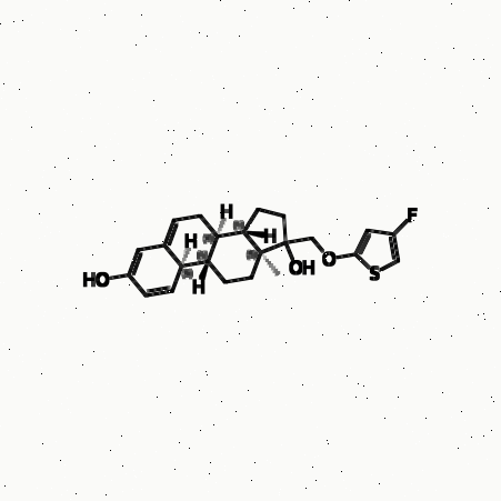 C[C@]12CC[C@H]3[C@@H](CC=C4C=C(O)C=C[C@@H]43)[C@@H]1CCC2(O)COc1cc(F)cs1